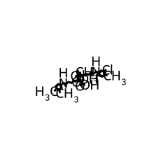 Cc1ccc(NCCCCOC(C(=O)N(C)CCCCCNc2ccc(C)c(Cl)c2)C(O)C(=O)O)cc1C